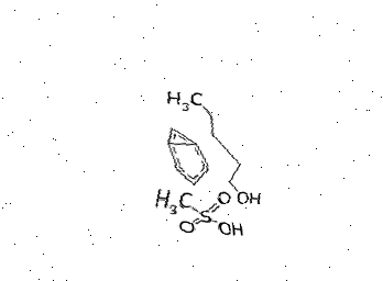 CCCCCO.CS(=O)(=O)O.c1cc2cc-2c1